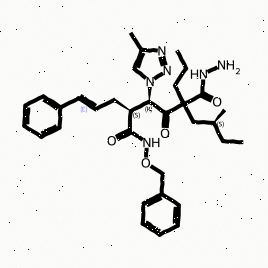 CCCC(C[C@@H](C)CC)(C(=O)NN)C(=O)[C@@H]([C@H](C/C=C/c1ccccc1)C(=O)NOCc1ccccc1)n1cc(C)nn1